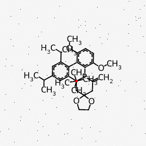 C=C1CC2(CC(C)(C)P1c1c(OC)ccc(OC)c1-c1c(C(C)C)cc(C(C)C)cc1C(C)C)OCCO2